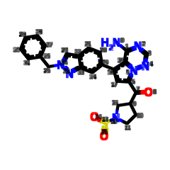 Nc1ncnn2c(C(=O)C3CCN([SH](=O)=O)C3)cc(-c3ccc4cn(Cc5ccccc5)nc4c3)c12